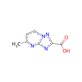 Cc1c[c]n2nc(C(=O)O)nc2n1